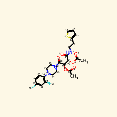 CC(=O)O[C@@H](C(=O)NCCc1cccs1)[C@@H](OC(C)=O)C(=O)N1CCN(c2ccc(F)cc2F)CC1